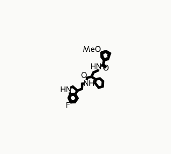 COc1cccc(C(=O)NCCC(C(=O)NCCC2CNc3cc(F)ccc32)C2CCCCC2)c1